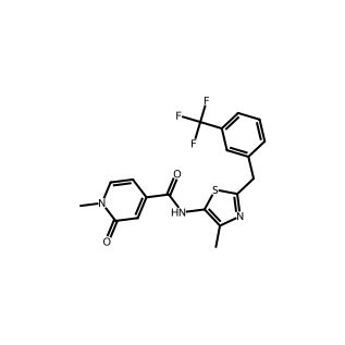 Cc1nc(Cc2cccc(C(F)(F)F)c2)sc1NC(=O)c1ccn(C)c(=O)c1